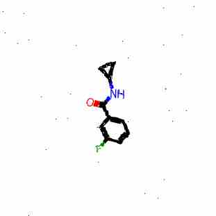 O=C(NC1CC1)c1[c]c(F)ccc1